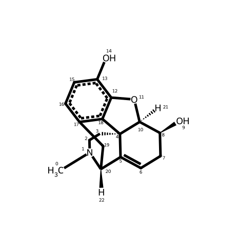 CN1CC[C@@]23C4=CC[C@H](O)[C@@H]2Oc2c(O)ccc(c23)C[C@H]41